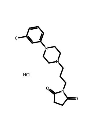 Cl.O=C1CCC(=O)N1CCCN1CCN(c2cccc(Cl)c2)CC1